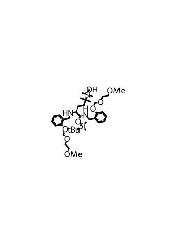 COCCOCOc1ccccc1CN[C@@H](CCC(C)(C)[Si](C)(C)O)[C@@H](NCc1ccccc1OCOCCOC)O[Si](C)(C)C(C)(C)C